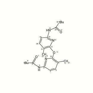 Cc1ccc(NC(=O)C(C)(C)C)nc1Oc1nc(NC(=O)C(C)(C)C)ccc1C